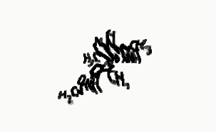 C=CC(=O)Nc1ccc2c(c1)c(C)cn2-c1nc(Nc2cc(C)[nH]n2)ncc1C